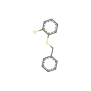 [S]c1ccccc1SCc1ccccc1